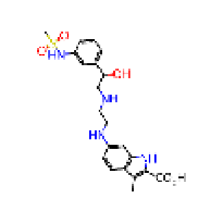 Cc1c(C(=O)O)[nH]c2cc(NCCNC[C@H](O)c3cccc(NS(C)(=O)=O)c3)ccc12